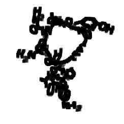 CC[C@H](C)[C@@H]1NC(=O)[C@H](Cc2ccc(O)cc2)NC(=O)CCCCC[C@@H](C(=O)N2CCC[C@H]2C(=O)N[C@@H](CC(C)C)C(=O)NCC(N)=O)NC(=O)[C@H](CC(N)=O)NC(=O)[C@H](CCC(N)=O)NC1=O